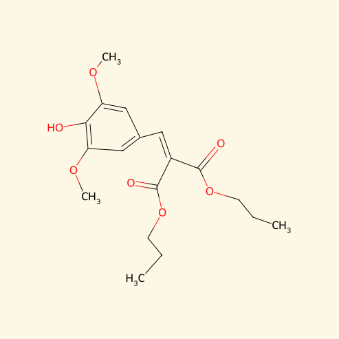 CCCOC(=O)C(=Cc1cc(OC)c(O)c(OC)c1)C(=O)OCCC